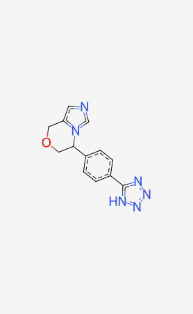 c1cc(C2COCc3cncn32)ccc1-c1nnn[nH]1